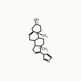 C[C@]12CC[C@H](O)CC1=CCC1C2CC[C@]2(C)C(C3C=CN=C3)=CCC12